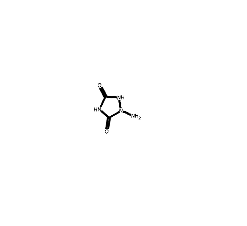 Nn1[nH]c(=O)[nH]c1=O